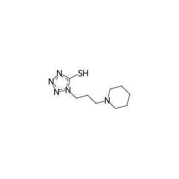 Sc1nnnn1CCCN1CCCCC1